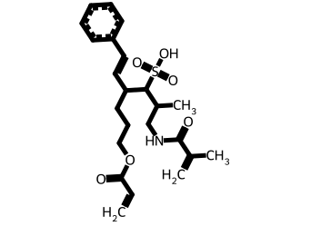 C=CC(=O)OCCCC(C=Cc1ccccc1)C(C(C)CNC(=O)C(=C)C)S(=O)(=O)O